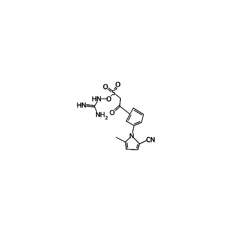 Cc1ccc(C#N)n1-c1cccc(C(=O)CS(=O)(=O)ONC(=N)N)c1